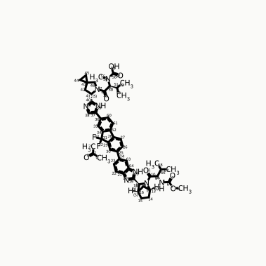 CC(C)=O.COC(=O)N[C@H](C(=O)N1[C@@H]2CC[C@@H](C2)[C@H]1c1nc2ccc(-c3ccc4c(c3)C(F)(F)c3cc(-c5cnc([C@@H]6CC7(CC7)CN6C(=O)[C@H](C(C)C)N(C)C(=O)O)[nH]5)ccc3-4)cc2[nH]1)C(C)C